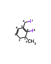 CC1CC=CC(CI)=C1I